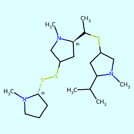 CC(C)C1CC(SC(C)[C@H]2CC(SS[C@@H]3CCCN3C)CN2C)CN1C